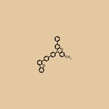 Cc1ccc2c(c1)Oc1cc(-c3ccccc3)ccc1N2c1ccc(-c2ccc(-c3cccc4c3oc3ccccc34)cc2)cc1